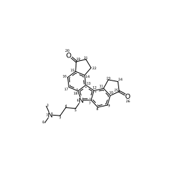 CN(C)CCCn1c2ccc3c(c2c2c4c(ccc21)C(=O)CC4)CCC3=O